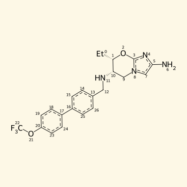 CC[C@@H]1Oc2nc(N)cn2C[C@@H]1NCc1ccc(-c2ccc(OC(F)(F)F)cc2)cc1